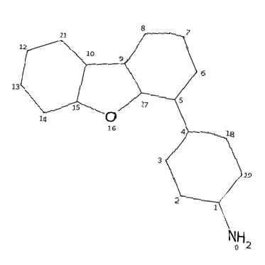 NC1CCC(C2CCCC3C4CCCCC4OC23)CC1